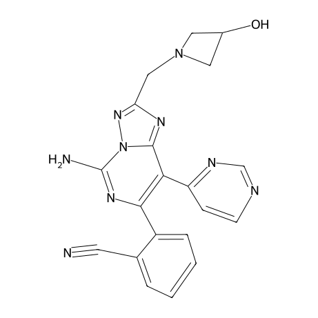 N#Cc1ccccc1-c1nc(N)n2nc(CN3CC(O)C3)nc2c1-c1ccncn1